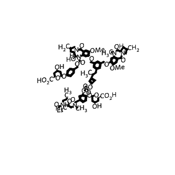 C=C1CC2C(O)N(C)c3cc(OCc4cc(COc5cc6c(cc5OC)C(=O)N5CC(=C)C[C@H]5[C@H](O)N6C(=O)OCc5ccc(O[C@H]6C[C@@H](O)C[C@@H](C(=O)O)O6)cc5)cc(CC(C)C5=CC(OS(=O)(=O)Oc6cc(C(=O)N(C)CC(C)OC(C)CNC(=O)CC)ccc6O[C@H]6C[C@@H](O)C[C@@H](C(=O)O)O6)=C5)c4)c(OC)cc3C(=O)N2C1